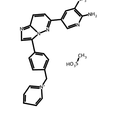 CS(=O)(=O)O.Nc1ncc(-c2ccc3ncc(-c4ccc(C[n+]5ccccc5)cc4)n3n2)cc1C(F)(F)F